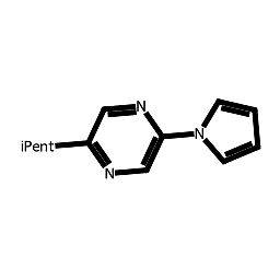 CCCC(C)c1cnc(-n2cccc2)cn1